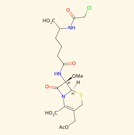 CO[C@]1(NC(=O)CCCC(NC(=O)CCl)C(=O)O)C(=O)N2C(C(=O)O)=C(COC(C)=O)CS[C@@H]21